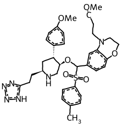 COCCCN1CCOc2ccc(C(O[C@H]3CN[C@@H](CCc4nnn[nH]4)C[C@@H]3c3ccc(OC)cc3)S(=O)(=O)c3ccc(C)cc3)cc21